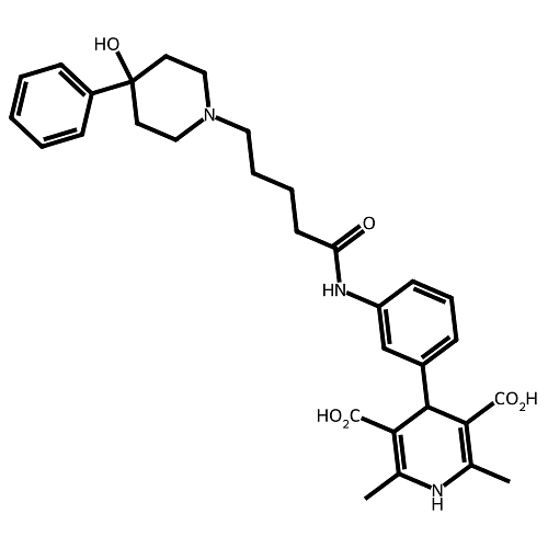 CC1=C(C(=O)O)C(c2cccc(NC(=O)CCCCN3CCC(O)(c4ccccc4)CC3)c2)C(C(=O)O)=C(C)N1